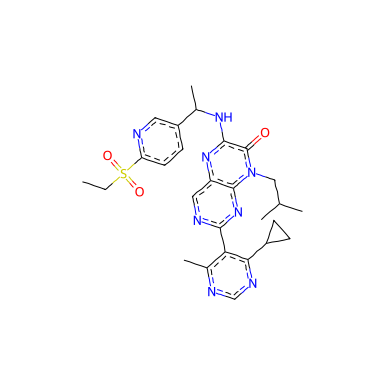 CCS(=O)(=O)c1ccc(C(C)Nc2nc3cnc(-c4c(C)ncnc4C4CC4)nc3n(CC(C)C)c2=O)cn1